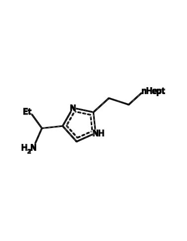 CCCCCCCCCc1nc(C(N)CC)c[nH]1